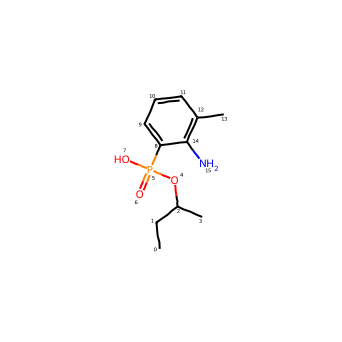 CCC(C)OP(=O)(O)c1cccc(C)c1N